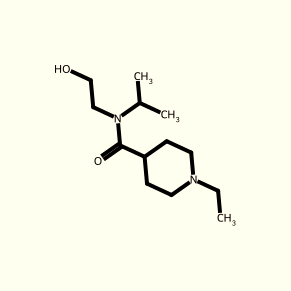 CCN1CCC(C(=O)N(CCO)C(C)C)CC1